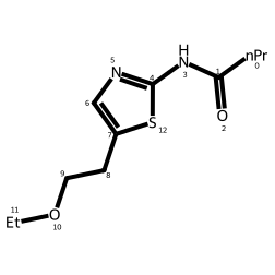 CCCC(=O)Nc1ncc(CCOCC)s1